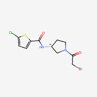 O=C(N[C@@H]1CCN(C(=O)CBr)C1)c1ccc(Cl)s1